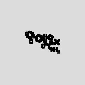 CC(C)(C)CN(C1CCC1)[C@@H](CN)C(=O)Nc1ccc(N2CCOCC2=O)cc1